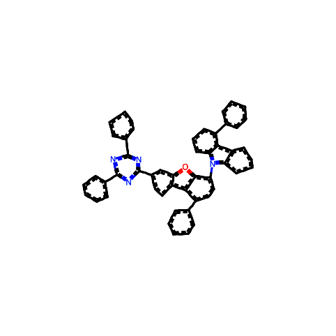 c1ccc(-c2nc(-c3ccccc3)nc(-c3ccc4c(c3)oc3c(-n5c6ccccc6c6c(-c7ccccc7)cccc65)ccc(-c5ccccc5)c34)n2)cc1